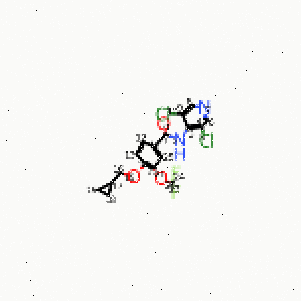 O=C(Nc1c(Cl)cncc1Cl)c1ccc(OCC2CC2)c(OC(F)F)c1